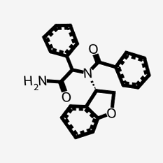 NC(=O)C(c1ccccc1)N(C(=O)c1ccccc1)[C@@H]1COc2ccccc21